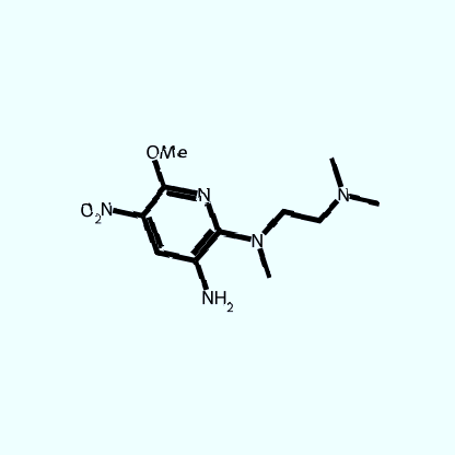 COc1nc(N(C)CCN(C)C)c(N)cc1[N+](=O)[O-]